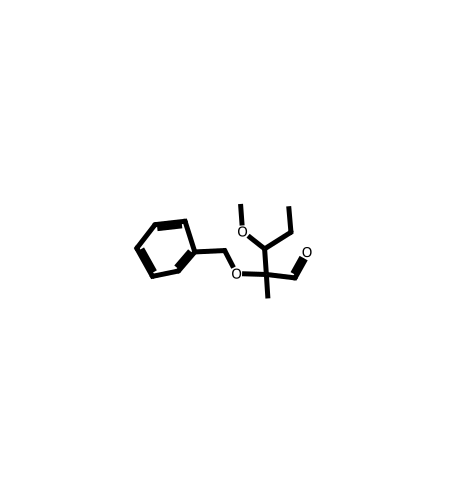 CCC(OC)C(C)(C=O)OCc1ccccc1